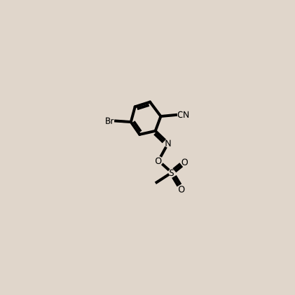 CS(=O)(=O)ON=C1C=C(Br)C=CC1C#N